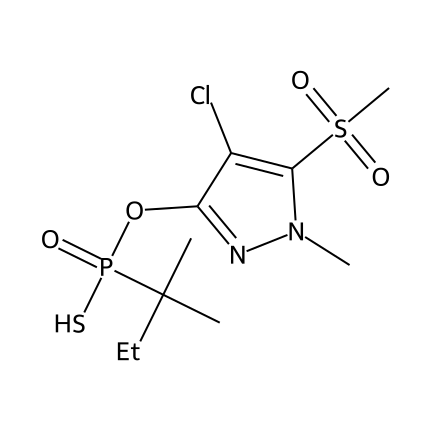 CCC(C)(C)P(=O)(S)Oc1nn(C)c(S(C)(=O)=O)c1Cl